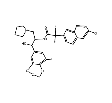 O=C(NC(CN1CCCC1)C(O)c1cc(F)c2c(c1)OCCO2)C(F)(F)c1ccc2cc(Cl)ccc2c1